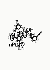 C#Cc1cccc(CNC[C@@H](O)[C@H](Cc2cc(F)cc(F)c2)NC(=O)c2cc(C(=O)N(CCC)CCC)cc(-c3ncco3)c2)c1